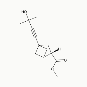 COC(=O)[C@H]1CC2(C#CC(C)(C)O)CC1C2